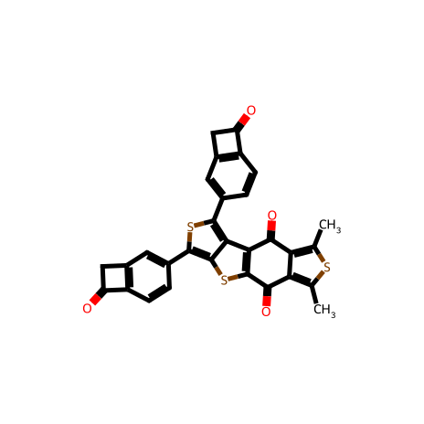 Cc1sc(C)c2c1C(=O)c1sc3c(-c4ccc5c(c4)CC5=O)sc(-c4ccc5c(c4)CC5=O)c3c1C2=O